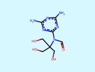 Nc1nc(N)nc(N(C=O)C(CO)(CO)CO)n1